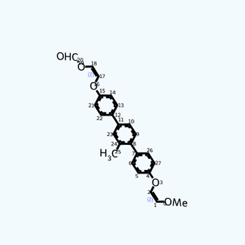 CO/C=C\Oc1ccc(-c2ccc(-c3ccc(O/C=C\OC=O)cc3)cc2C)cc1